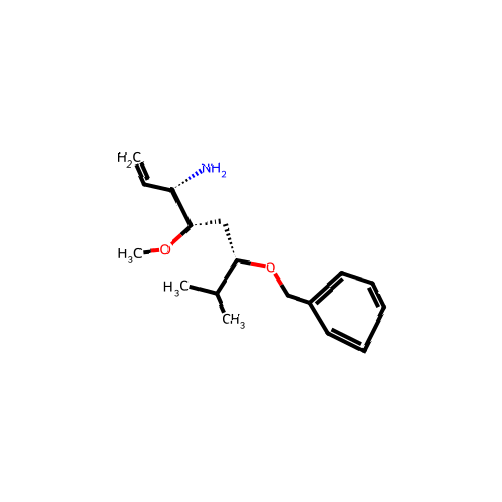 C=C[C@H](N)[C@H](C[C@H](OCc1ccccc1)C(C)C)OC